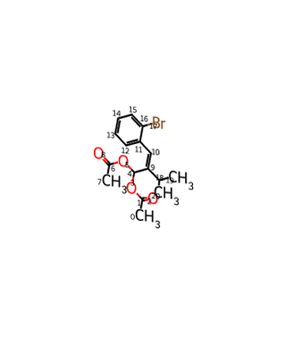 CC(=O)OC(OC(C)=O)C(=Cc1ccccc1Br)C(C)C